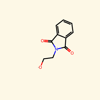 [O]CCN1C(=O)c2ccccc2C1=O